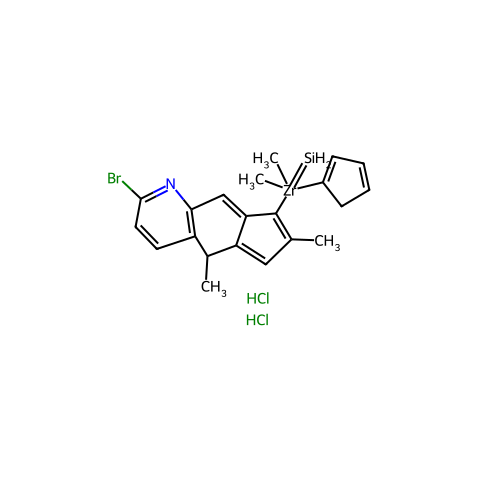 CC1=[C]([Zr]([CH3])([CH3])(=[SiH2])[C]2=CC=CC2)C2=Cc3nc(Br)ccc3C(C)C2=C1.Cl.Cl